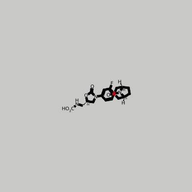 O=C(O)NC[C@H]1CN(c2ccc(N3[C@@H]4CC[C@H]3C[S+]([O-])C4)c(F)c2)C(=O)O1